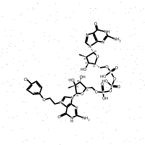 C[C@@H]1[C@H](O)[C@@H](COP(=O)(O)OP(=O)(O)OP(=O)(O)OC[C@H]2O[C@@H](n3c[n+](CCOc4ccc(Cl)cc4)c4c(=O)[nH]c(N)nc43)[C@](C)(O)[C@@H]2O)O[C@H]1n1cnc2c(=O)[nH]c(N)nc21